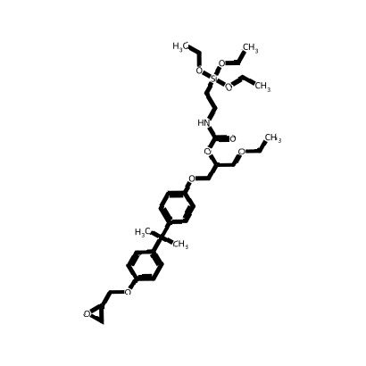 CCOCC(COc1ccc(C(C)(C)c2ccc(OCC3CO3)cc2)cc1)OC(=O)NCC[Si](OCC)(OCC)OCC